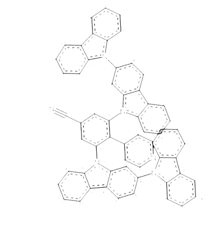 N#Cc1cc(-n2c3ccccc3c3ccc(-n4c5ccccc5c5ccccc54)cc32)c(-c2ccncc2)c(-n2c3ccccc3c3ccc(-n4c5ccccc5c5ccccc54)cc32)c1